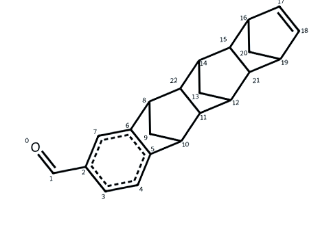 O=Cc1ccc2c(c1)C1CC2C2C3CC(C4C5C=CC(C5)C34)C12